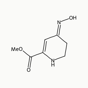 COC(=O)C1=CC(=NO)CCN1